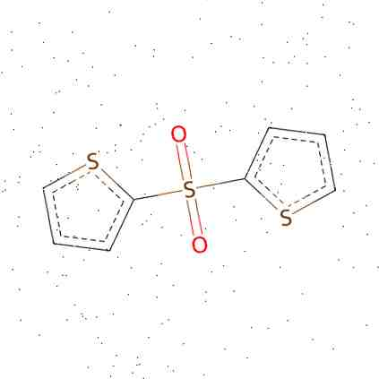 O=S(=O)(c1cccs1)c1cccs1